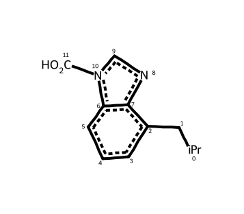 CC(C)Cc1cccc2c1ncn2C(=O)O